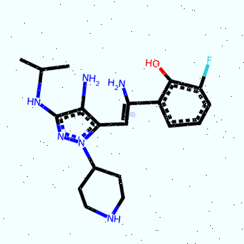 CC(C)Nc1nn(C2CCNCC2)c(/C=C(\N)c2cccc(F)c2O)c1N